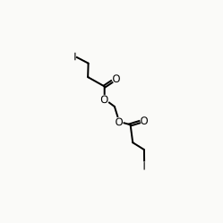 O=C(CCI)OCOC(=O)CCI